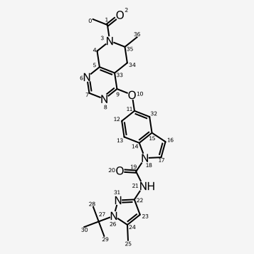 CC(=O)N1Cc2ncnc(Oc3ccc4c(ccn4C(=O)Nc4cc(C)n(C(C)(C)C)n4)c3)c2CC1C